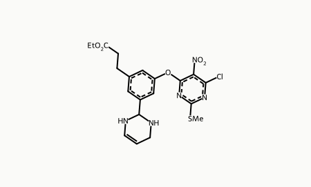 CCOC(=O)CCc1cc(Oc2nc(SC)nc(Cl)c2[N+](=O)[O-])cc(C2NC=CCN2)c1